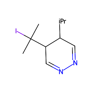 CC(C)C1C=NN=CC1C(C)(C)I